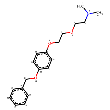 CN(C)CCOCCOc1ccc(OCc2ccccc2)cc1